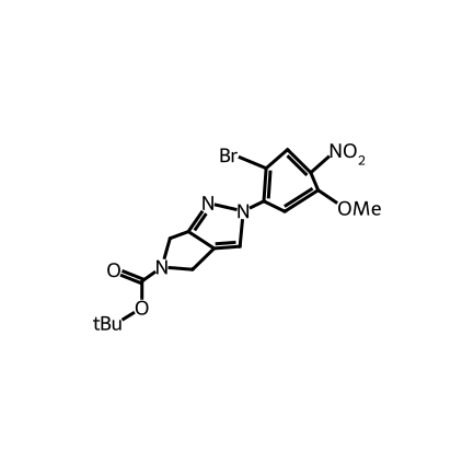 COc1cc(-n2cc3c(n2)CN(C(=O)OC(C)(C)C)C3)c(Br)cc1[N+](=O)[O-]